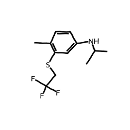 Cc1ccc(NC(C)C)cc1SCC(F)(F)F